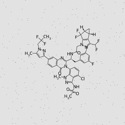 Cc1cc(-c2ccc3c(=O)n(-c4ccc(Cl)c5c(NS(C)(=O)=O)nn(C)c45)c([C@H](Cc4cc(F)cc(F)c4)NC(=O)Cn4nc(C(F)F)c5c4C(F)(F)[C@@H]4C[C@H]54)nc3c2)nn1CC(C)(F)F